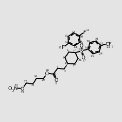 O=C(CC[C@H]1CC[C@@](c2cc(F)ccc2F)(S(=O)(=O)c2ccc(C(F)(F)F)cc2)CC1)OCCCCO[N+](=O)[O-]